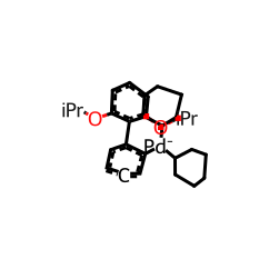 CC(C)Oc1cccc(OC(C)C)c1-c1cccc[c]1[Pd-]([CH]1CCCCC1)[CH]1CCCCC1